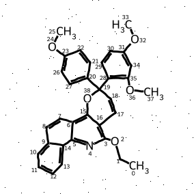 CCOc1nc2c(ccc3ccccc32)c2c1C=CC(c1ccc(OC)cc1)(c1ccc(OC)cc1OC)O2